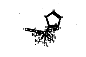 [CH3][Co]([CH3])([CH3])([CH3])([CH3])(=[C]=O)(=[C]=O)[C]1=CC=CC1